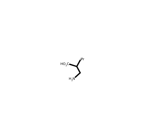 CC(C)C(CN)C(=O)O